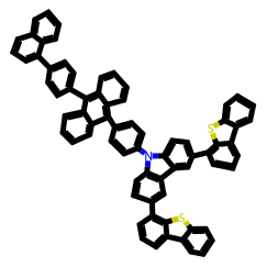 c1ccc2c(-c3ccc(-c4c5ccccc5c(-c5ccc(-n6c7ccc(-c8cccc9c8sc8ccccc89)cc7c7cc(-c8cccc9c8sc8ccccc89)ccc76)cc5)c5ccccc45)cc3)cccc2c1